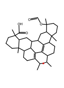 CC(C)C1=C2C3=C4C(CC5C(C)(OC=O)CCCC5(C)C4CCC3C(C)C)C3CC4C(C)(C(=O)O)CCCC4(C)C(CC1)C23